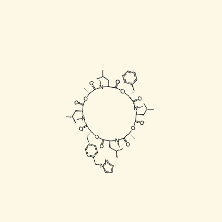 CC(C)CC1C(=O)O[C@H](Cc2ccccc2)C(=O)N(C)[C@@H](CC(C)C)C(=O)O[C@H](C)C(=O)N(C)[C@@H](CC(C)C)C(=O)O[C@H](Cc2ccc(Cn3cccn3)cc2)C(=O)N(C)[C@@H](CC(C)C)C(=O)O[C@H](C)C(=O)N1C